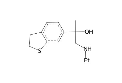 CCNCC(C)(O)c1ccc2c(c1)SCC2